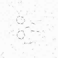 CCCCCCCCCCCCCC=CC(C=C=[N+]=[N-])=C(c1cc(CCCCC)cc(CCCCC)c1)c1cc(CCCCCC)cc(CCCCCC)c1.CCCCCC[CH2][Ni][CH2]CCCCCC